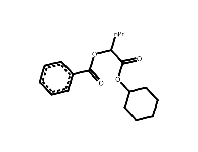 CCCC(OC(=O)c1ccccc1)C(=O)OC1CCCCC1